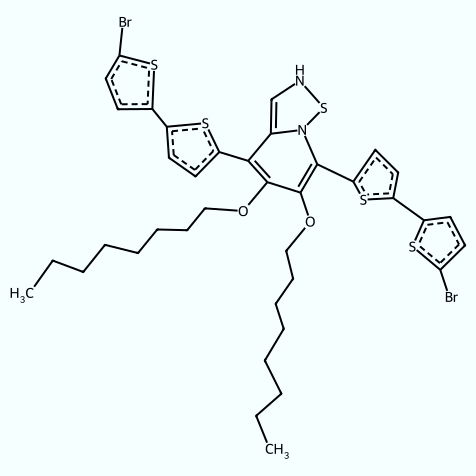 CCCCCCCCOC1=C(c2ccc(-c3ccc(Br)s3)s2)C2=CNSN2C(c2ccc(-c3ccc(Br)s3)s2)=C1OCCCCCCCC